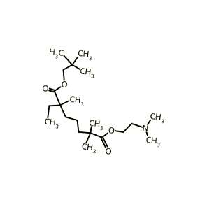 CCC(C)(CCCC(C)(C)C(=O)OCCN(C)C)C(=O)OCC(C)(C)C